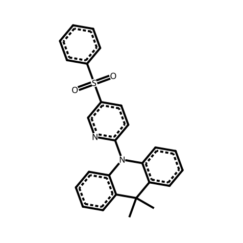 CC1(C)c2ccccc2N(c2ccc(S(=O)(=O)c3ccccc3)cn2)c2ccccc21